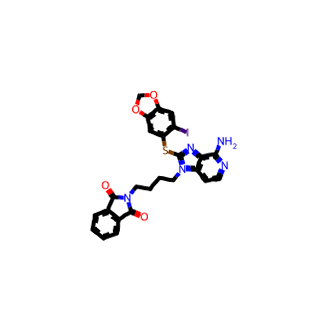 Nc1nccc2c1nc(Sc1cc3c(cc1I)OCO3)n2CCCCN1C(=O)c2ccccc2C1=O